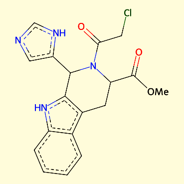 COC(=O)C1Cc2c([nH]c3ccccc23)C(c2cnc[nH]2)N1C(=O)CCl